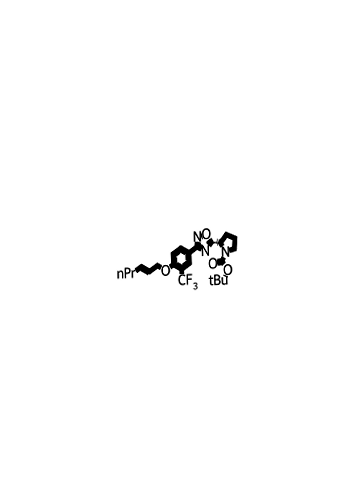 CCCC=CCOc1ccc(-c2noc([C@@H]3CCCN3C(=O)OC(C)(C)C)n2)cc1C(F)(F)F